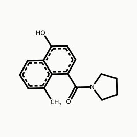 Cc1cccc2c(O)ccc(C(=O)N3CCCC3)c12